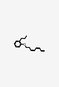 C=C/C=C\C=C/CCOc1ccccc1CCC